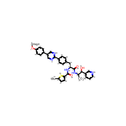 CCCCCCCOc1ccc(-c2cnc(-c3ccc(C[C@H](NC(=O)c4ccc(C(C)(C)C)s4)C(=O)NC(C(=O)O)C(O)c4cccnc4)cc3)nc2)cc1